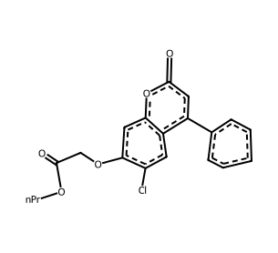 CCCOC(=O)COc1cc2oc(=O)cc(-c3ccccc3)c2cc1Cl